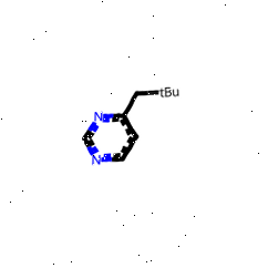 CC(C)(C)Cc1ccncn1